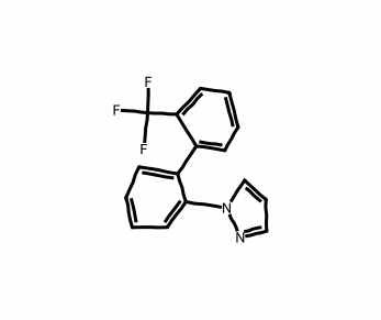 FC(F)(F)c1ccccc1-c1ccccc1-n1cccn1